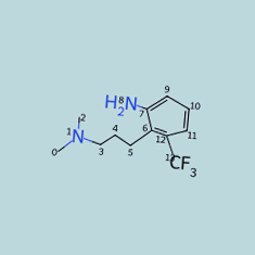 CN(C)CCCc1c(N)cccc1C(F)(F)F